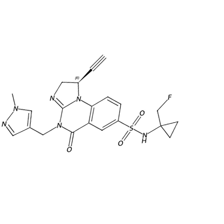 C#C[C@@H]1CN=C2N(Cc3cnn(C)c3)C(=O)c3cc(S(=O)(=O)NC4(CF)CC4)ccc3N21